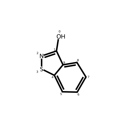 Oc1nsc2cc[c]cc12